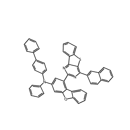 c1ccc(-c2ccc(N(c3ccccc3)c3cc(-c4nc(-c5ccc6ccccc6c5)c5sc6ccccc6c5n4)c4c(c3)oc3ccccc34)cc2)cc1